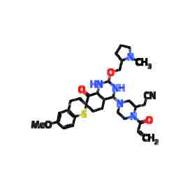 C=CC(=O)N1CCN(C2NC(OCC3CCCN3C)NC3C(=O)[C@]4(CCc5cc(OC)ccc5S4)CCC32)CC1CC#N